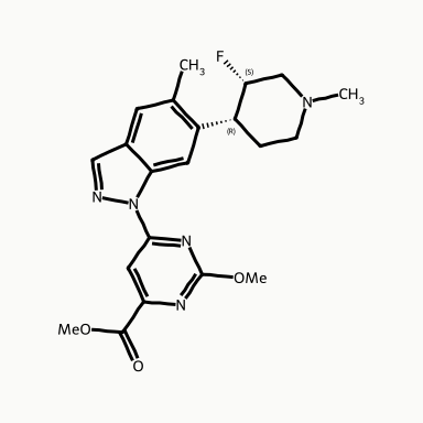 COC(=O)c1cc(-n2ncc3cc(C)c([C@H]4CCN(C)C[C@H]4F)cc32)nc(OC)n1